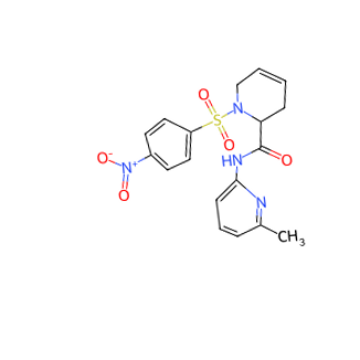 Cc1cccc(NC(=O)C2CC=CCN2S(=O)(=O)c2ccc([N+](=O)[O-])cc2)n1